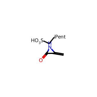 C=C1NC1=O.CCCC(C)CS(=O)(=O)O